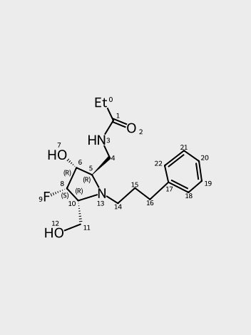 CCC(=O)NC[C@@H]1[C@@H](O)[C@@H](F)[C@@H](CO)N1CCCc1ccccc1